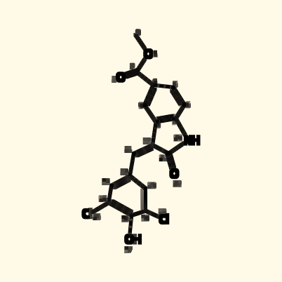 COC(=O)c1ccc2c(c1)/C(=C/c1cc(Cl)c(O)c(Cl)c1)C(=O)N2